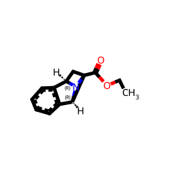 CCOC(=O)C12C[C@@H]3c4ccccc4[C@H]1N32